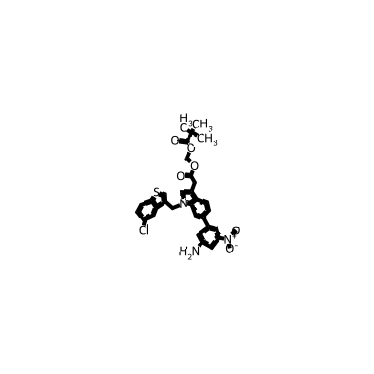 CC(C)(C)C(=O)OCOC(=O)Cc1cn(Cc2csc3ccc(Cl)cc23)c2cc(-c3cc(N)cc([N+](=O)[O-])c3)ccc12